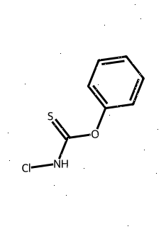 S=C(NCl)Oc1ccccc1